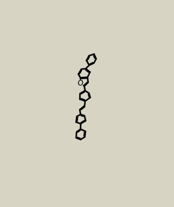 C(=Cc1ccc(-c2cc3cc(-c4ccccc4)ccc3o2)cc1)c1ccc(-c2ccccc2)cc1